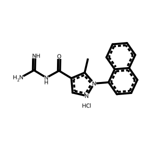 Cc1c(C(=O)NC(=N)N)cnn1-c1cccc2ccccc12.Cl